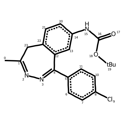 CC1=NN=C(c2ccc(Cl)cc2)c2cc(NC(=O)OC(C)(C)C)ccc2C1